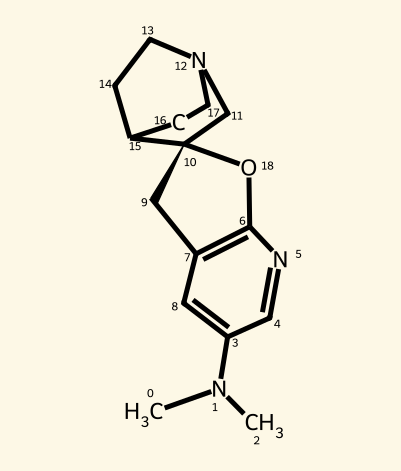 CN(C)c1cnc2c(c1)C[C@@]1(CN3CCC1CC3)O2